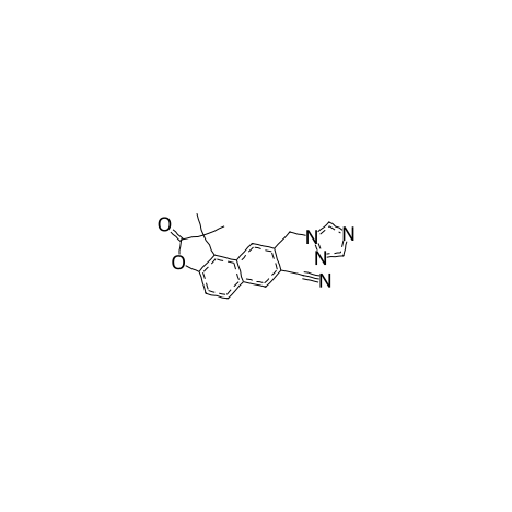 CC1(C)C(=O)Oc2ccc3cc(C#N)c(Cn4cncn4)cc3c21